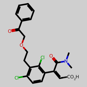 CN(C)C(=O)C(=CC(=O)O)c1ccc(Cl)c(CCOCC(=O)c2ccccc2)c1Cl